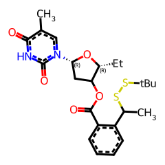 CC[C@H]1O[C@@H](n2cc(C)c(=O)[nH]c2=O)CC1OC(=O)c1ccccc1C(C)SSC(C)(C)C